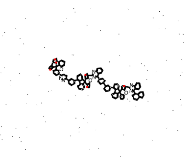 c1cc(-c2ccc(-c3cccc4c3Oc3ccccc3C43c4ccccc4-c4ccccc43)nn2)cc(-c2cccc3c2-c2ccccc2C32c3ccccc3Oc3c(-c4nc(-c5ccc(-c6cccc(-c7cccc8c7-c7ccccc7C87c8ccccc8Oc8c(-c9nc(-c%10cccc%11ccccc%10%11)c%10ccccc%10n9)cccc87)c6)cc5)c5ccccc5n4)cccc32)c1